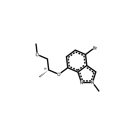 COC[C@@H](C)Oc1ccc(Br)c2cn(C)nc12